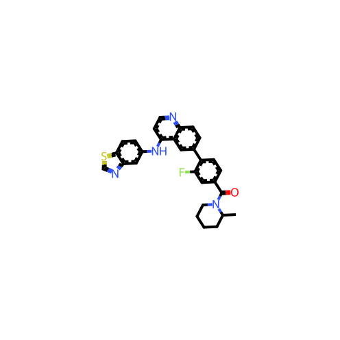 CC1CCCCN1C(=O)c1ccc(-c2ccc3nccc(Nc4ccc5scnc5c4)c3c2)c(F)c1